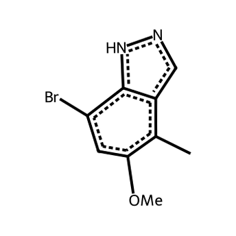 COc1cc(Br)c2[nH]ncc2c1C